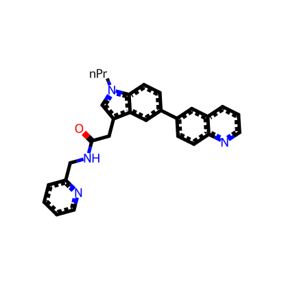 CCCn1cc(CC(=O)NCc2ccccn2)c2cc(-c3ccc4ncccc4c3)ccc21